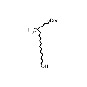 CCCCCCCCCCCCCC[C@@H](C)CCCCCCCCCCCCO